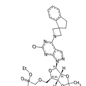 CCOP(=O)(COC[C@H]1O[C@@H](n2ncc3c(N4CC5(CCc6ccccc65)C4)nc(Cl)nc32)[C@@H]2OC(C)(C)O[C@@H]21)OCC